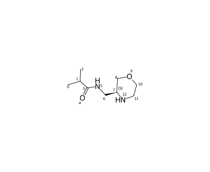 CC(C)C(=O)NC[C@H]1COCCN1